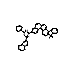 CC1(C)c2ccccc2-c2c1ccc1c2ccc2ccc3cc(-c4nc(-c5ccccc5)nc(-c5ccc6ccccc6c5)n4)ccc3c21